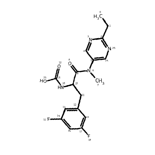 CCc1ncc(N(C)C(=O)C(Cc2cc(F)cc(F)c2)NC(=O)O)cn1